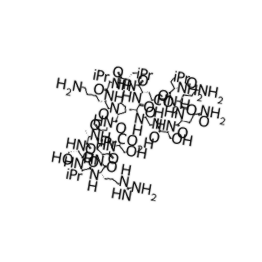 CC(C)C[C@H](NC(=O)[C@H](CCCNC(=N)N)NC(=O)[C@@H](NC(=O)[C@H](CO)NC(=O)[C@H](C)NC(=O)CNC(=O)[C@@H]1CCCN1C(=O)[C@H](CCCCN)NC(=O)[C@@H](NC(=O)[C@H](CC(C)C)NC(=O)[C@H](CCC(=O)O)NC(=O)[C@H](C)NC(=O)CNC(=O)[C@H](CO)NC(=O)[C@H](CCC(N)=O)NC(=O)[C@H](CCC(N)=O)NC(=O)[C@@H](N)CC(C)C)C(C)C)C(C)C)C(=O)N[C@@H](CO)C(=O)O